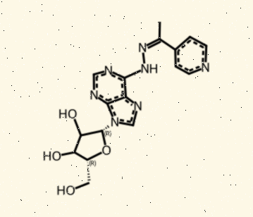 CC(=NNc1ncnc2c1ncn2[C@@H]1O[C@H](CO)C(O)C1O)c1ccncc1